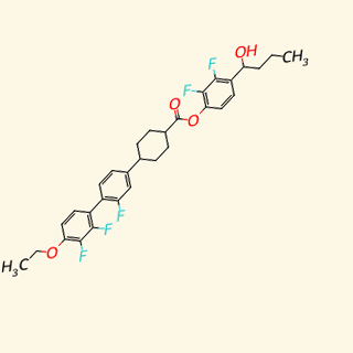 CCCC(O)c1ccc(OC(=O)C2CCC(c3ccc(-c4ccc(OCC)c(F)c4F)c(F)c3)CC2)c(F)c1F